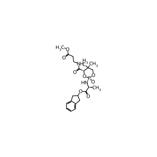 COC(=O)CCNC(=O)[C@@H]1OP(=O)(N[C@@H](C)C(=O)OC2Cc3ccccc3C2)OCC1(C)C